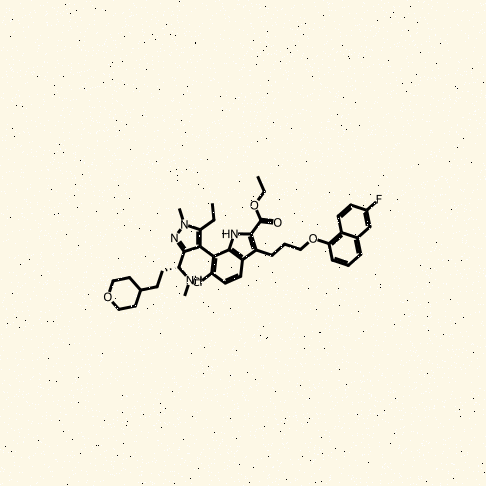 CCOC(=O)c1[nH]c2c(-c3c([C@@H](CCC4CCOCC4)NC)nn(C)c3CC)c(Cl)ccc2c1CCCOc1cccc2cc(F)ccc12